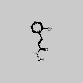 O=C(C=Cc1ccccc1Br)NO